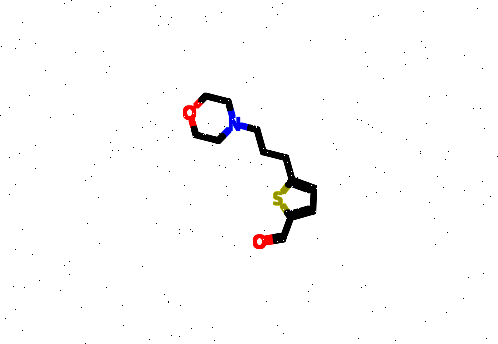 O=Cc1ccc(CCCN2CCOCC2)s1